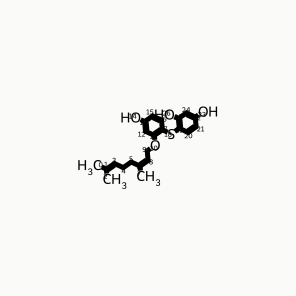 CC(C)=CCCC(C)=CCOc1cc(O)ccc1Sc1ccc(O)cc1O